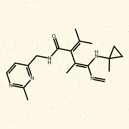 C=N/C(NC1(C)CC1)=C(\C)C(C(=O)NCc1ccnc(C)n1)=C(C)C